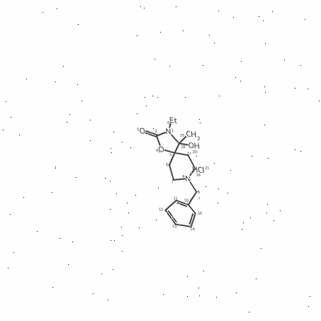 CCN1C(=O)OC2(CCN(Cc3ccccc3)CC2)C1(C)O.Cl